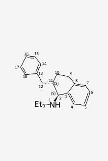 CCN[C@@H]1c2ccccc2CC[C@H]1Cc1ccccc1